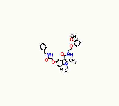 CCn1c(C)c(C(=O)NCCOc2ccccc2OC)c2cc(OCC(=O)NCc3ccccc3)ccc21